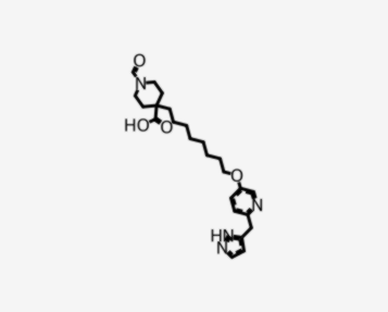 O=CN1CCC(CCCCCCCCOc2ccc(Cc3ccn[nH]3)nc2)(C(=O)O)CC1